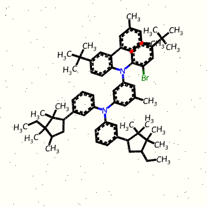 CCC1CC(c2cccc(N(c3cccc(C4CC(C)C(C)(CC)C4(C)C)c3)c3cc(C)cc(N(c4ccc(C(C)(C)C)cc4Br)c4ccc(C(C)(C)C)cc4-c4cc(C)cc(C)c4)c3)c2)C(C)(C)C1(C)C